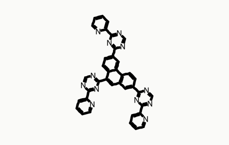 c1ccc(-c2ncnc(-c3ccc4c(c3)cc(-c3ncnc(-c5ccccn5)n3)c3ccc(-c5ncnc(-c6ccccn6)n5)cc34)n2)nc1